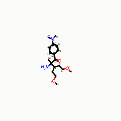 COCCC(CCOC)C(C)(N)C(=O)c1ccc(N(C)C)cc1